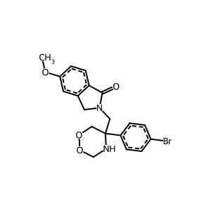 COc1ccc2c(c1)CN(CC1(c3ccc(Br)cc3)COOCN1)C2=O